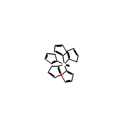 Cl.Cl.[CH2]=[Zr]([C]1=CC=CC1)([C]1=CC=CC1)([C]1=CC=CC1)([C]1=CC=CC1)[C]1=CC=CC1